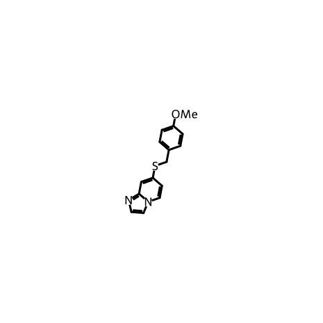 COc1ccc(CSc2ccn3ccnc3c2)cc1